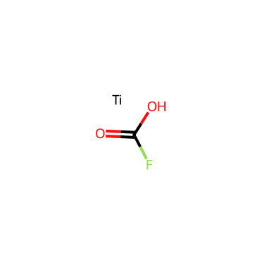 O=C(O)F.[Ti]